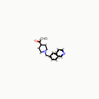 O=CC(=O)C1CCN(Cc2ccc3cnccc3c2)CC1